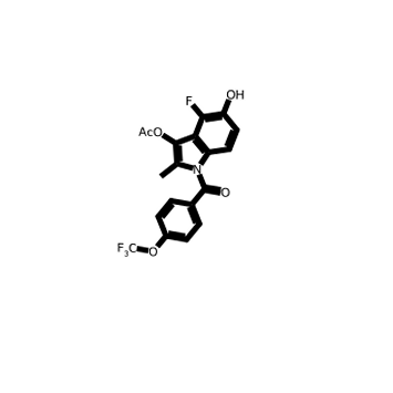 CC(=O)Oc1c(C)n(C(=O)c2ccc(OC(F)(F)F)cc2)c2ccc(O)c(F)c12